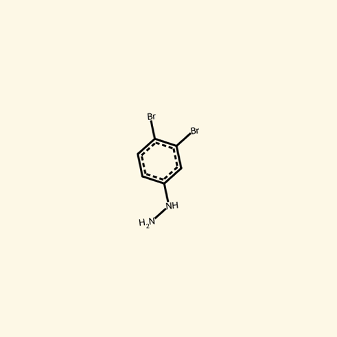 NNc1ccc(Br)c(Br)c1